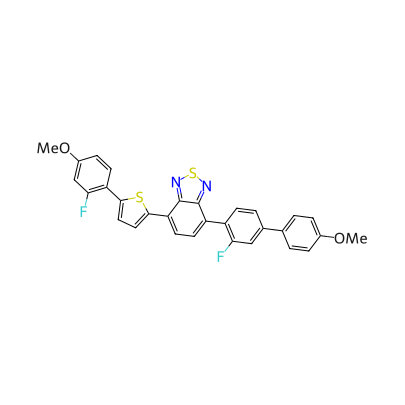 COc1ccc(-c2ccc(-c3ccc(-c4ccc(-c5ccc(OC)cc5F)s4)c4nsnc34)c(F)c2)cc1